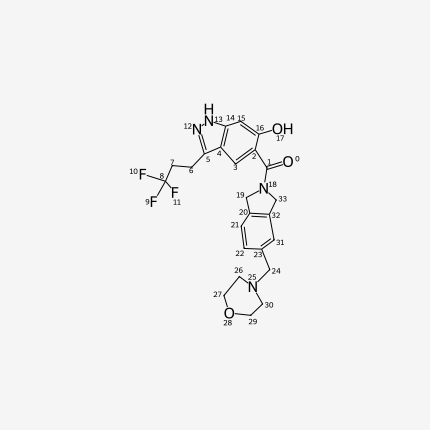 O=C(c1cc2c(CCC(F)(F)F)n[nH]c2cc1O)N1Cc2ccc(CN3CCOCC3)cc2C1